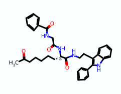 CC(=O)CCCCC[C@H](NC(=O)CNC(=O)c1ccccc1)C(=O)NCCc1c(-c2ccccc2)[nH]c2ccccc12